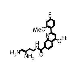 CCOc1cc(-c2ccc(F)cc2OC)nc2cc(C(=O)NCC/C(N)=C/N)ccc12